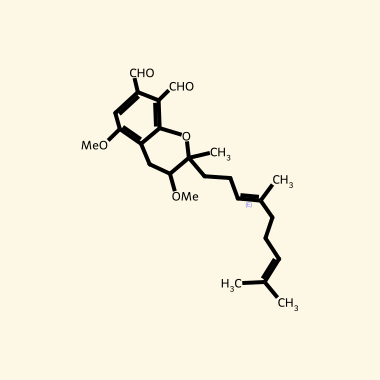 COc1cc(C=O)c(C=O)c2c1CC(OC)C(C)(CC/C=C(\C)CCC=C(C)C)O2